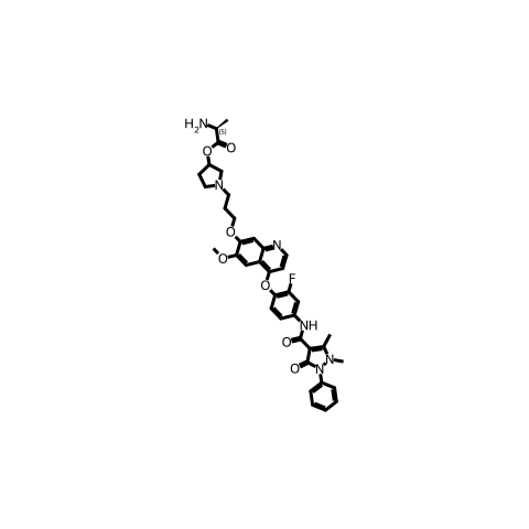 COc1cc2c(Oc3ccc(NC(=O)c4c(C)n(C)n(-c5ccccc5)c4=O)cc3F)ccnc2cc1OCCCN1CCC(OC(=O)[C@H](C)N)C1